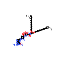 CCCCCCCCCCCCCCOCC(CNC(=O)CC[C@H](NC(=O)c1ccc(NCc2cnc3nc(N)[nH]c(=O)c3n2)cc1)C(=O)O)OCCCCCCCCCCCCCC